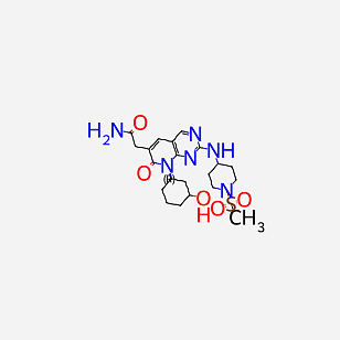 CS(=O)(=O)N1CCC(Nc2ncc3cc(CC(N)=O)c(=O)n([C@@H]4CCCC(O)C4)c3n2)CC1